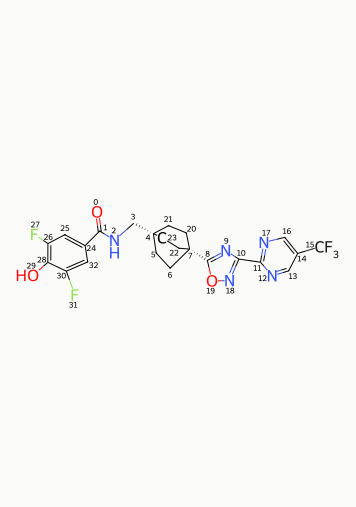 O=C(NC[C@]12CC[C@](c3nc(-c4ncc(C(F)(F)F)cn4)no3)(CC1)CC2)c1cc(F)c(O)c(F)c1